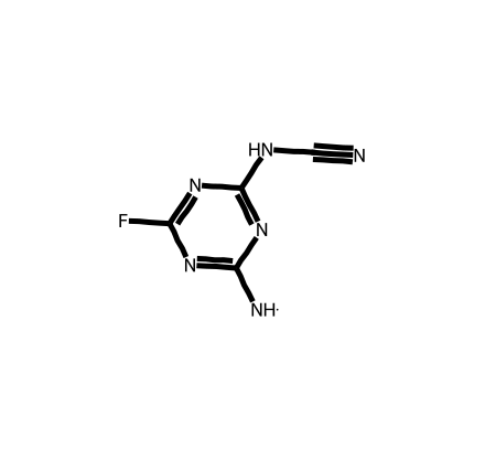 N#CNc1nc([NH])nc(F)n1